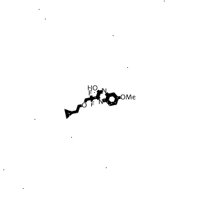 COc1ccc2nc(C(F)(F)COCCC3CC3)c(O)nc2c1